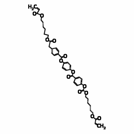 C=CC(=O)OCCCCCCOC(=O)Cc1ccc(C(=O)Oc2ccc(OC(=O)c3ccc(OC(=O)OCCCCCCOC(=O)C=C)cc3)cc2)cc1